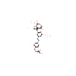 COc1cc(/C=C/c2cc(O)c3c(c2)OC(C)(C)CC3)cc2c1O[C@]1(C)CC[C@@H](O)C(C)(C)[C@H]1C2